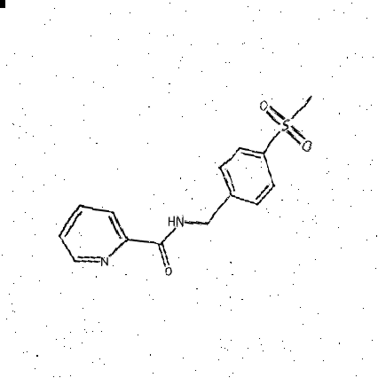 CS(=O)(=O)c1ccc(CNC(=O)c2ccccn2)cc1